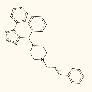 C(=C\c1ccccc1)/CN1CCN(C(c2ccccc2)c2nnnn2-c2ccccc2)CC1